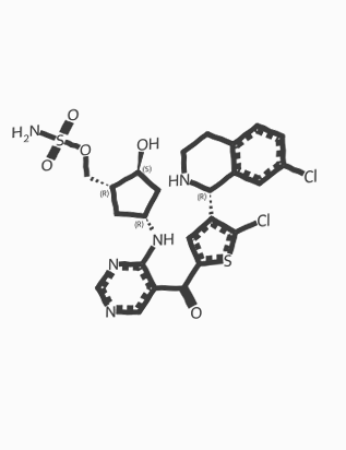 NS(=O)(=O)OC[C@H]1C[C@@H](Nc2ncncc2C(=O)c2cc([C@@H]3NCCc4ccc(Cl)cc43)c(Cl)s2)C[C@@H]1O